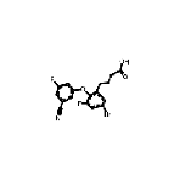 N#Cc1cc(F)cc(Oc2c(F)cc(Br)cc2CCCC(=O)O)c1